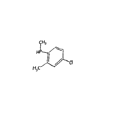 CPc1ccc(Cl)cc1C